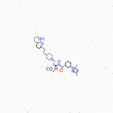 Cc1cc(C)n(-c2cccc(C(=O)N[C@H](CCN3CCC(CCc4ccc5c(n4)NCCC5)CC3)C(=O)O)c2)n1